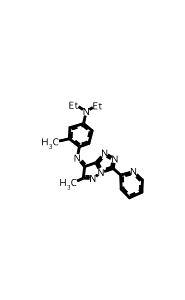 CCN(CC)c1ccc(/N=C2/C(C)=Nn3c2nnc3-c2ccccn2)c(C)c1